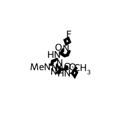 CNc1cc(Nc2cccn([C@H]3C[C@H](F)C3)c2=O)nc2c(C(=O)N[C@@H]3CC[C@@]3(C)OC)cnn12